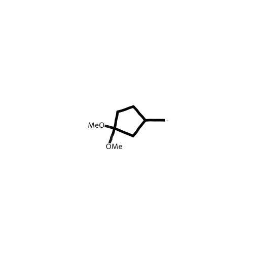 [CH2]C1CCC(OC)(OC)C1